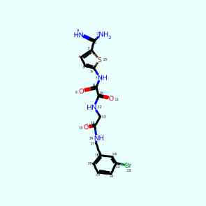 N=C(N)c1ccc(NC(=O)C(=O)NCC(=O)NCc2cccc(Br)c2)s1